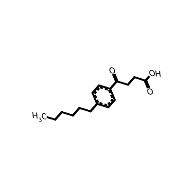 CCCCCCc1ccc(C(=O)CCC(=O)O)cc1